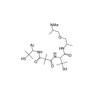 CNC(C)COCC(C)NC(=O)C(NC(=O)C(C)(C)C(=O)NC(C(C)=O)C(C)(C)S)C(C)(C)S